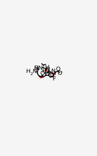 COC(=O)c1coc(-c2nc3oc2[C@@]24c5cc(F)ccc5N[C@@H]2Oc2ccc(cc24)CC(N)C(=O)N[C@H]3C(C)C)n1